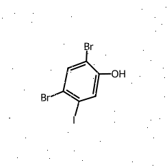 Oc1cc(I)c(Br)cc1Br